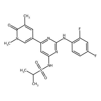 Cc1cc(-c2cc(NS(=O)(=O)C(C)C)nc(Nc3ccc(F)cc3F)n2)cn(C)c1=O